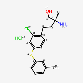 CCc1cccc(Sc2ccc(CC[C@@](C)(N)CO)c(Cl)c2)c1.Cl